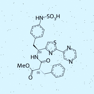 COC(=O)[C@@H](Cc1ccccc1)C(=O)N[C@@H](Cc1ccc(NS(=O)(=O)O)cc1)c1csc(-c2cnccn2)n1